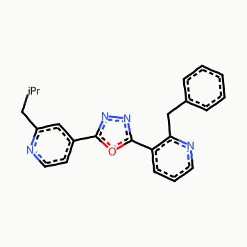 CC(C)Cc1cc(-c2nnc(-c3cccnc3Cc3ccccc3)o2)ccn1